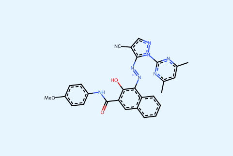 COc1ccc(NC(=O)c2cc3ccccc3c(/N=N/c3c(C#N)cnn3-c3nc(C)cc(C)n3)c2O)cc1